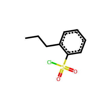 CCCc1c[c]ccc1S(=O)(=O)Cl